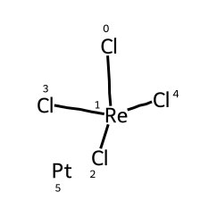 [Cl][Re]([Cl])([Cl])[Cl].[Pt]